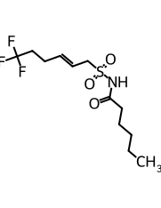 CCCCCC(=O)NS(=O)(=O)CC=CCCC(F)(F)F